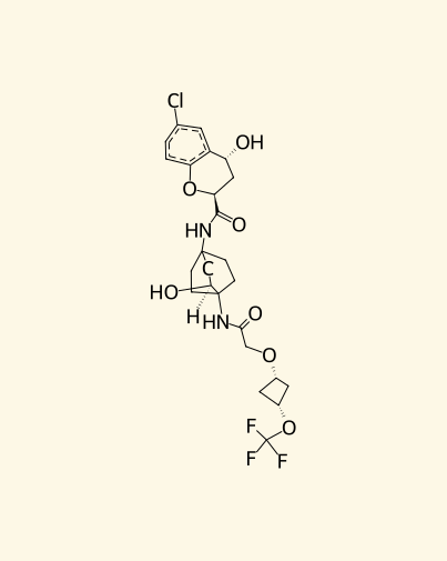 O=C(CO[C@H]1C[C@@H](OC(F)(F)F)C1)NC12CCC(NC(=O)[C@@H]3C[C@@H](O)c4cc(Cl)ccc4O3)(CC1)C[C@@H]2O